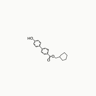 O=C(OCC1CCCCC1)c1ccc(-c2ccc(O)cc2)cc1